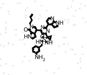 C=CCCn1cc(-c2cc(C3(S(=N)(=O)NCc4cccc(N)c4)CC3)nc(-c3ccnc4[nH]ccc34)n2)c2cc[nH]c2c1=O